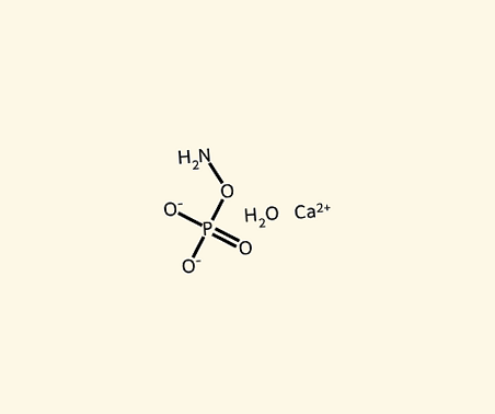 NOP(=O)([O-])[O-].O.[Ca+2]